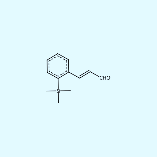 C[Si](C)(C)c1ccccc1C=C[C]=O